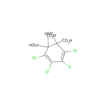 CCCCCCCCC1(C(=O)O)C(Cl)=C(Cl)C(Cl)=C(Cl)C1(CCCCCCCC)C(=O)O